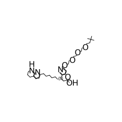 CC(C)(C)CCOCCOCCOCCOc1ccc([C@@H](CCCCCCc2ccc3c(n2)NCCC3)CC(=O)O)cn1